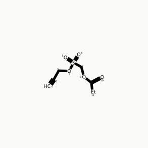 C#CCOS(=O)(=O)COC(=O)CC